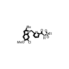 CCC(C)c1cc2cc(OC)c(Cl)cc2n1Cc1cccc(C(=O)NS(=O)(=O)CC)n1